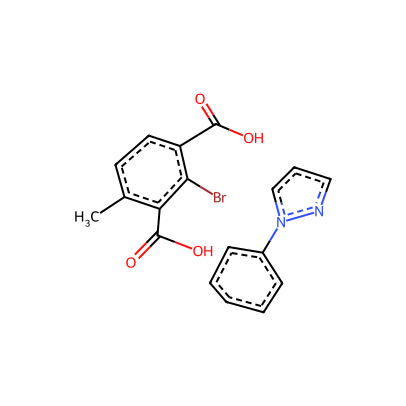 Cc1ccc(C(=O)O)c(Br)c1C(=O)O.c1ccc(-n2cccn2)cc1